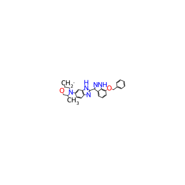 [CH2]C1CN(c2ccc3nc(-c4n[nH]c5c(OCc6ccccc6)cccc45)[nH]c3c2)C(C)CO1